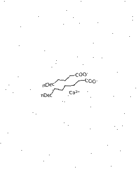 CCCCCCCCCCCCCC(=O)[O-].CCCCCCCCCCCCCCCC(=O)[O-].[Ca+2]